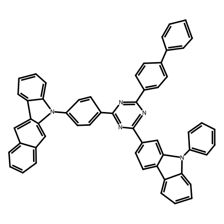 c1ccc(-c2ccc(-c3nc(-c4ccc(-n5c6ccccc6c6cc7ccccc7cc65)cc4)nc(-c4ccc5c6ccccc6n(-c6ccccc6)c5c4)n3)cc2)cc1